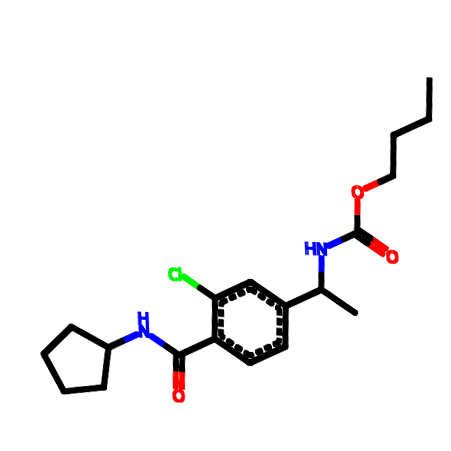 CCCCOC(=O)NC(C)c1ccc(C(=O)NC2CCCC2)c(Cl)c1